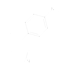 N#CSS(=O)(=O)c1ccc([N+](=O)[O-])cc1